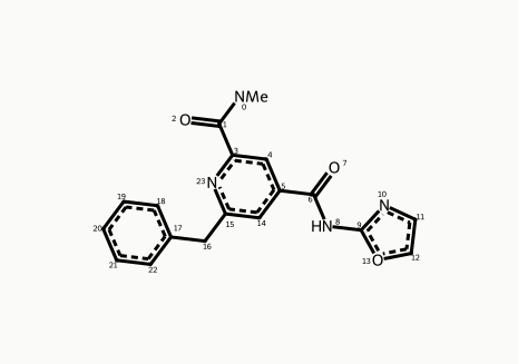 CNC(=O)c1cc(C(=O)Nc2ncco2)cc(Cc2ccccc2)n1